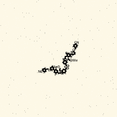 COCCn1c(Cc2cc(F)c(-c3cccc(OCc4ccc(C#N)cc4)n3)cc2F)nc2ccc(C(=O)OC(=O)c3ccc4nc(Cc5cc(F)c(-c6cccc(OCc7ccc(C#N)cc7)n6)cc5F)n(CCOC)c4c3)cc21